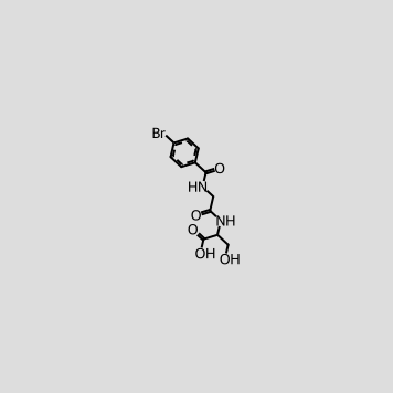 O=C(CNC(=O)c1ccc(Br)cc1)NC(CO)C(=O)O